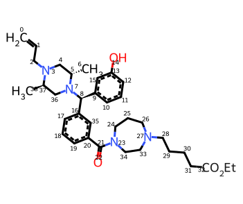 C=CCN1C[C@H](C)N([C@@H](c2cccc(O)c2)c2cccc(C(=O)N3CCCN(CCCCC(=O)OCC)CC3)c2)C[C@H]1C